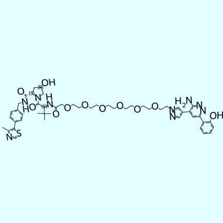 Cc1ncsc1-c1ccc(CNC(=O)[C@@H]2C[C@@H](O)CN2C(=O)[C@@H](NC(=O)COCCOCCOCCOCCOCCOCCn2cc(-c3cc(-c4ccccc4O)nnc3N)cn2)C(C)(C)C)cc1